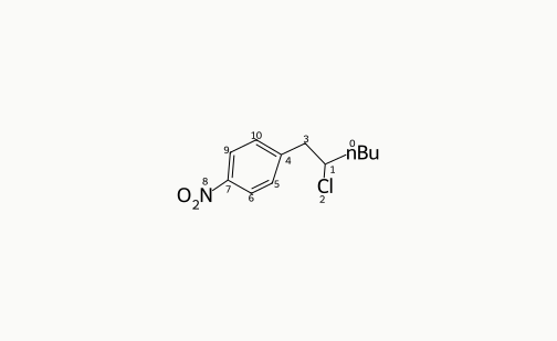 CCCCC(Cl)Cc1ccc([N+](=O)[O-])cc1